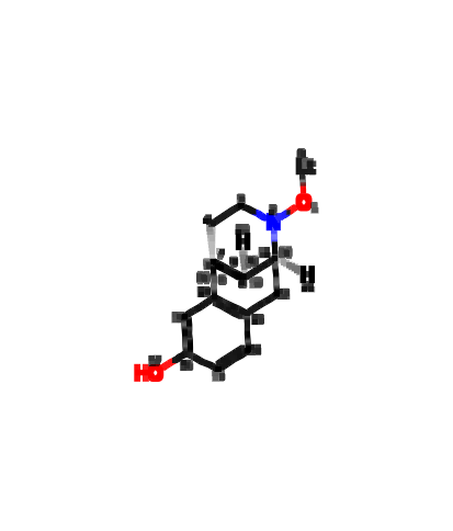 CCON1CC[C@@]23CCCC[C@@H]2[C@@H]1Cc1ccc(O)cc13